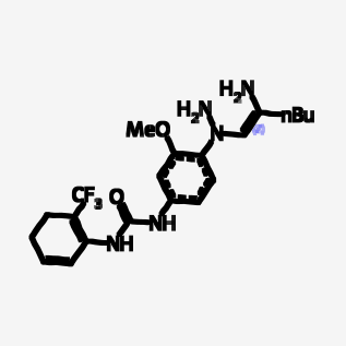 CCCC/C(N)=C/N(N)c1ccc(NC(=O)NC2=C(C(F)(F)F)CCC=C2)cc1OC